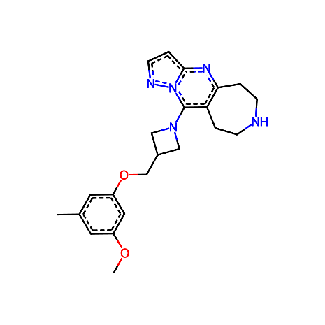 COc1cc(C)cc(OCC2CN(c3c4c(nc5ccnn35)CCNCC4)C2)c1